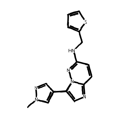 Cn1cc(-c2cnc3ccc(NCc4cccs4)nn23)cn1